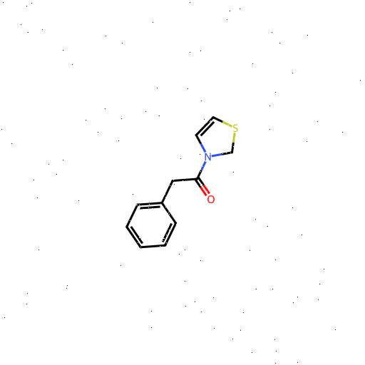 O=C(Cc1ccccc1)N1C=CSC1